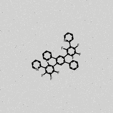 Fc1c(F)c(-c2ccccn2)c(F)c(-c2cc(-c3ccccc3)c(-c3c(F)c(F)c(F)c(-c4ccccn4)c3F)cc2-c2ccccc2)c1F